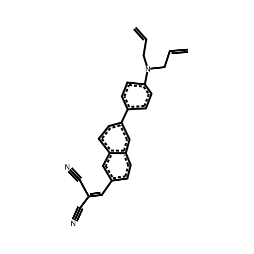 C=CCN(CC=C)c1ccc(-c2ccc3cc(C=C(C#N)C#N)ccc3c2)cc1